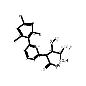 CCCC(=O)C(c1cccc(-c2c(C)cc(C)cc2C)n1)C(OCC)C(C(=O)O)C(=O)O